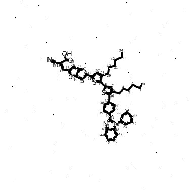 CCCCCCc1cc(-c2sc(-c3cc4sc(/C=C(/C#N)C(=O)O)cc4s3)cc2CCCCCC)sc1-c1ccc(-c2nc3ccccc3n2-c2ccccc2)cc1